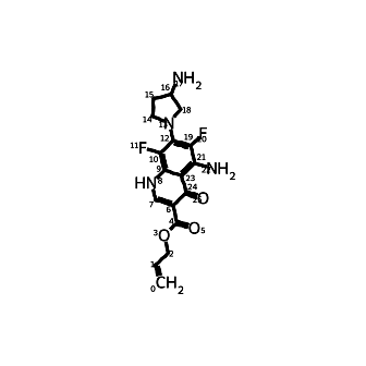 C=CCOC(=O)c1c[nH]c2c(F)c(N3CCC(N)C3)c(F)c(N)c2c1=O